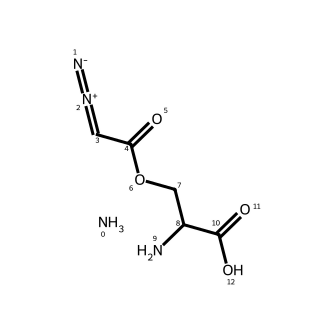 N.[N-]=[N+]=CC(=O)OCC(N)C(=O)O